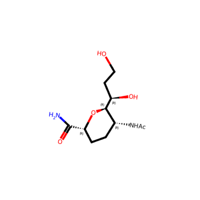 CC(=O)N[C@@H]1CC[C@H](C(N)=O)O[C@H]1[C@H](O)CCO